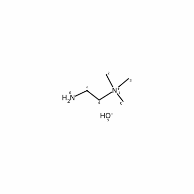 C[N+](C)(C)CCN.[OH-]